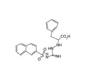 N=C(NNC(Cc1ccccc1)C(=O)O)NS(=O)(=O)c1ccc2ccccc2c1